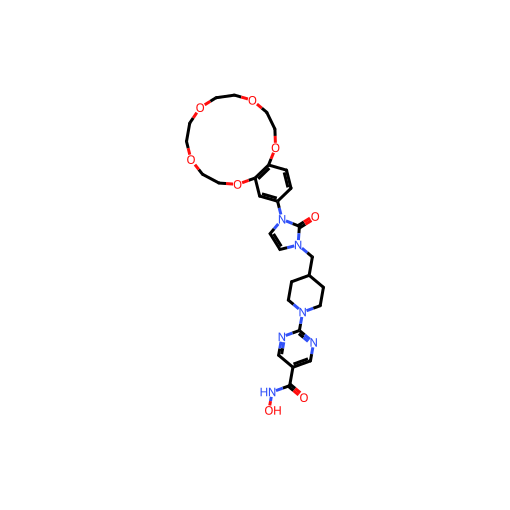 O=C(NO)c1cnc(N2CCC(Cn3ccn(-c4ccc5c(c4)OCCOCCOCCOCCO5)c3=O)CC2)nc1